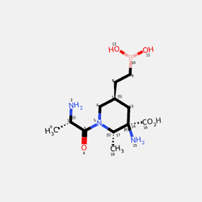 C[C@H](N)C(=O)N1C[C@@H](CCB(O)O)C[C@](N)(C(=O)O)[C@@H]1C